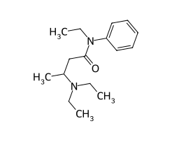 CCN(C(=O)CC(C)N(CC)CC)c1ccccc1